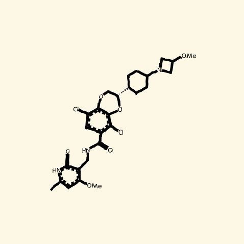 COc1cc(C)[nH]c(=O)c1CNC(=O)c1cc(Cl)c2c(c1Cl)O[C@@H](C1CCC(N3CC(OC)C3)CC1)CO2